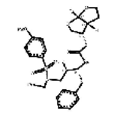 COc1ccc(S(=O)(=O)N(CC(C)C)C[C@@H](O)[C@@H](Cc2ccccc2)NC(=O)C[C@@H]2CO[C@@H]3OCC[C@H]23)cc1